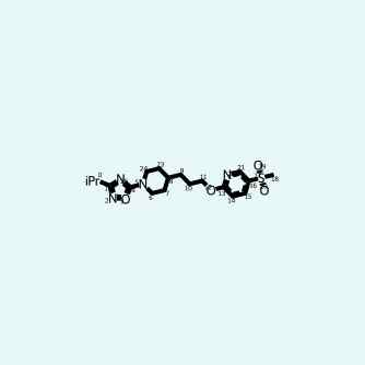 CC(C)c1noc(N2CCC(CCCOc3ccc(S(C)(=O)=O)cn3)CC2)n1